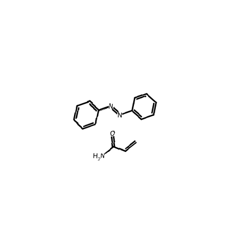 C=CC(N)=O.c1ccc(/N=N/c2ccccc2)cc1